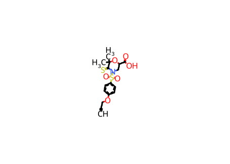 C#CCOc1ccc(S(=O)(=O)N2CC(C(=O)O)OC(C)(C)C2=S)cc1